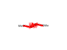 COCCOCCOCCOC(=O)c1ccc(C2C(O)[C@@]3(O)C(c4ccc(C(=O)OCCOCCOCCOC)cc4)[C@@](O)([C@H](O)CO)[C@@]23O)cc1